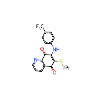 CCCSC1=C(Nc2ccc(C(F)(F)F)cc2)C(=O)c2ncccc2C1=O